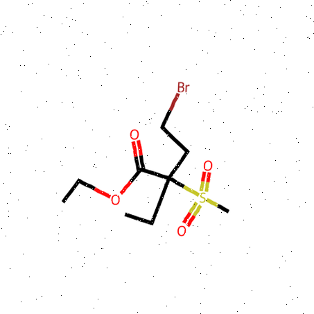 CCOC(=O)C(CC)(CCBr)S(C)(=O)=O